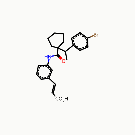 CC(c1ccc(Br)cc1)C1(C(=O)Nc2cccc(/C=C/C(=O)O)c2)CCCCC1